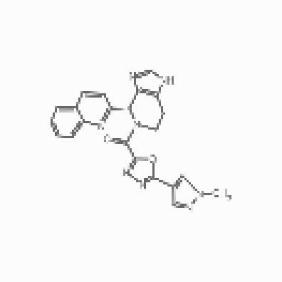 Cn1cc(-c2nnc(C(=O)N3CCc4[nH]cnc4[C@@H]3c3ccc4ccccc4n3)o2)cn1